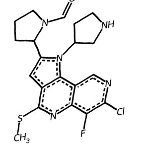 CSc1nc2c(F)c(Cl)ncc2c2c1cc(C1CCCN1C=O)n2C1CCNC1